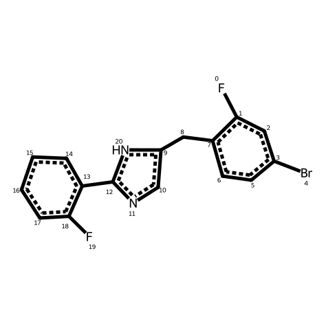 Fc1cc(Br)ccc1Cc1cnc(-c2ccccc2F)[nH]1